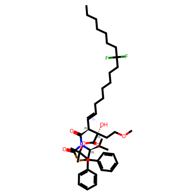 CCCCCCCC(F)(F)CCCCCC/C=C/[C@H](C(=O)N1C(=O)SC(c2ccccc2)(c2ccccc2)[C@@H]1C(C)C)[C@@](O)(CCOC)C(=O)OC(C)(C)C